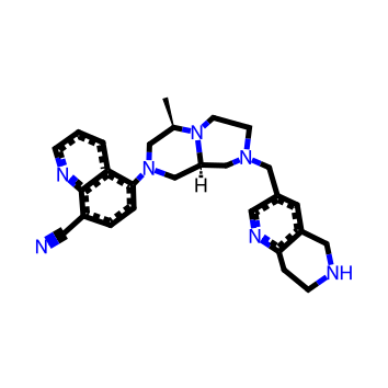 C[C@@H]1CN(c2ccc(C#N)c3ncccc23)C[C@@H]2CN(Cc3cnc4c(c3)CNCC4)CCN21